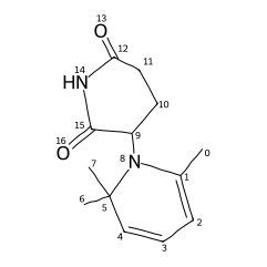 CC1=CC=CC(C)(C)N1C1CCC(=O)NC1=O